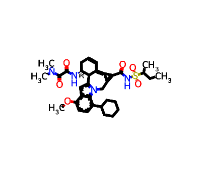 CCC(C)S(=O)(=O)NC(=O)C1=C2Cn3c(cc4c(OC)ccc(C5CCCCC5)c43)C3C(=C21)C=CC[C@H]3NC(=O)C(=O)N(C)C